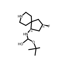 CC(C)(C)OC(O)N[C@@H]1C[C@H](F)CC12CCNCC2